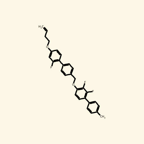 C=CCCOc1ccc(-c2ccc(COc3ccc(-c4ccc(C)cc4)c(F)c3F)cc2)c(F)c1